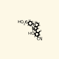 Cc1cc(C#N)cc(O)c1-c1cc2c(nn1)N([C@H]1CC[C@H](C(=O)O)CC1)CCC2